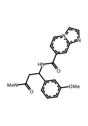 CNC(=O)CC(NC(=O)c1ccn2ccnc2c1)c1cccc(OC)c1